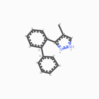 Cc1c[nH]nc1-c1ccccc1-c1ccccc1